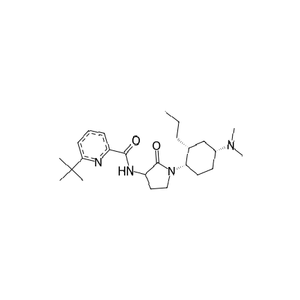 CCC[C@@H]1C[C@H](N(C)C)CC[C@@H]1N1CCC(NC(=O)c2cccc(C(C)(C)C)n2)C1=O